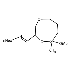 CCCCCCN=CC1COCCC[Si](C)(OC)O1